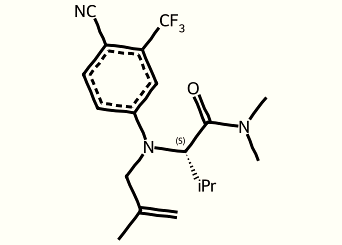 C=C(C)CN(c1ccc(C#N)c(C(F)(F)F)c1)[C@H](C(=O)N(C)C)C(C)C